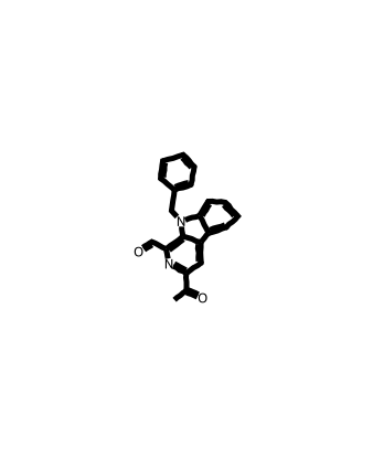 CC(=O)c1cc2c3ccccc3n(Cc3ccccc3)c2c(C=O)n1